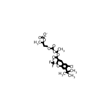 CC(CCOC(=O)OC(C)OC(=O)C1=Cc2cc(Cl)c(C(C)(C)C)cc2O[C@@H]1C(F)(F)F)O[N+](=O)[O-]